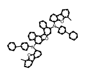 Cc1cccc2c1oc1c(N(c3ccc(-c4ccccc4)cc3)c3cc4oc5cc(N(c6ccc(-c7ccccc7)cc6)c6cccc7c6oc6c(C)cccc67)c6ccccc6c5c4c4ccccc34)cccc12